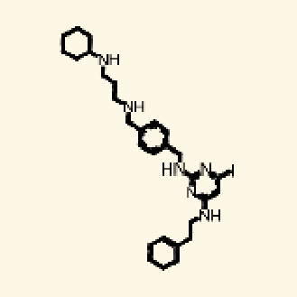 Ic1cc(NCCC2=CCCCC2)nc(NCc2ccc(CNCCCNC3CCCCC3)cc2)n1